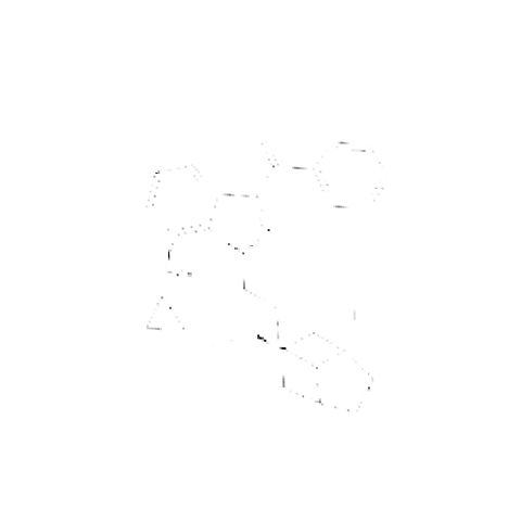 COc1cccc2c(C(=O)c3ccccc3)cn(CCCN3[C@@H]4CC[C@H]3C[C@@H](OCC3CC3)C4)c12